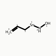 C=C[CH2][Sn][NH]O